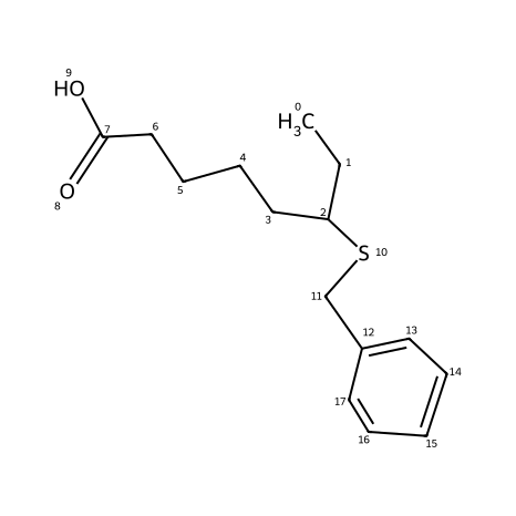 CCC(CCCCC(=O)O)SCc1ccccc1